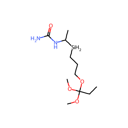 CCC(OC)(OC)OCCC[SiH2]C(C)NC(N)=O